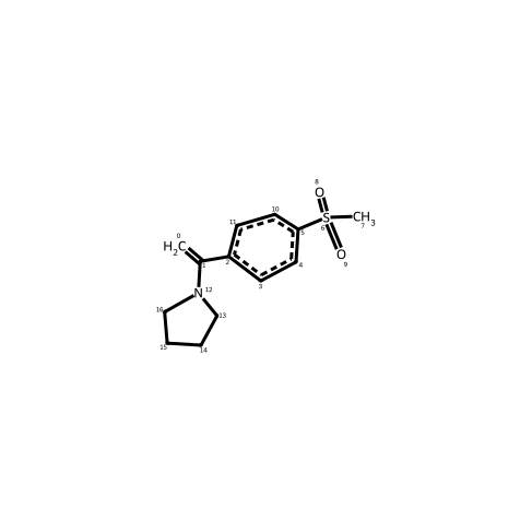 C=C(c1ccc(S(C)(=O)=O)cc1)N1CCCC1